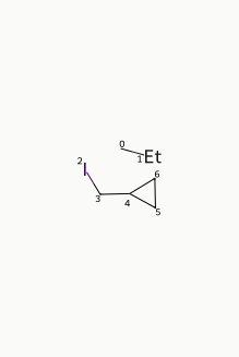 CCC.ICC1CC1